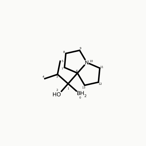 BC(O)(C(C)C)C12CCCN1CCC2